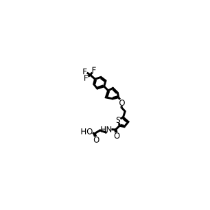 O=C(O)CCNC(=O)c1ccc(CCOc2ccc(-c3ccc(C(F)(F)F)cc3)cc2)s1